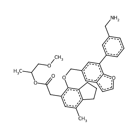 COCC(C)OC(=O)Cc1cc(C)c2c(c1OCc1cc(-c3cccc(CN)c3)c3occc3c1)CCC2